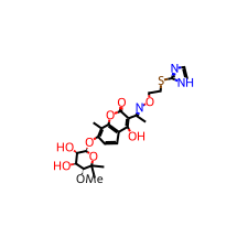 CO[C@@H]1[C@@H](O)[C@@H](O)[C@H](Oc2ccc3c(O)c(/C(C)=N/OCCSc4ncc[nH]4)c(=O)oc3c2C)OC1(C)C